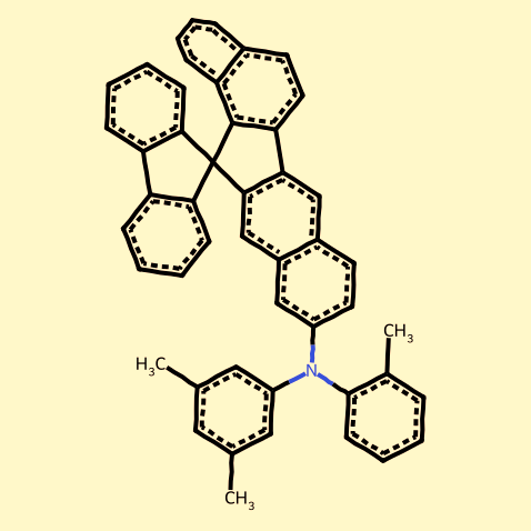 Cc1cc(C)cc(N(c2ccc3cc4c(cc3c2)C2(c3ccccc3-c3ccccc32)c2c-4ccc3ccccc23)c2ccccc2C)c1